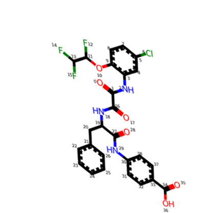 O=C(Nc1cc(Cl)ccc1OC(F)C(F)F)C(=O)NC(Cc1ccccc1)C(=O)Nc1ccc(C(=O)O)cc1